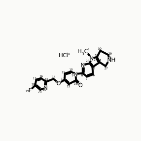 Cl.Cn1c2c(c3ccc(-n4ccc(OCc5ccc(F)cn5)cc4=O)nc31)CNCC2